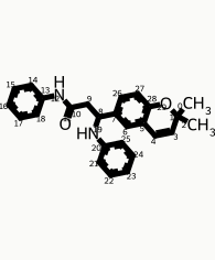 CC1(C)C=Cc2cc(C(CC(=O)Nc3ccccc3)Nc3ccccc3)ccc2O1